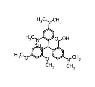 COc1ccc(C(c2ccc(N(C)C)cc2C(=O)O)c2ccc(N(C)C)cc2N(C)C)c(OC)c1